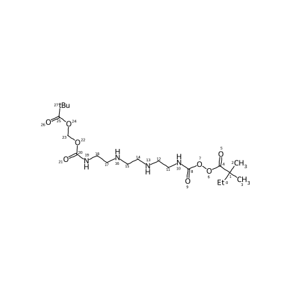 CCC(C)(C)C(=O)OOC(=O)NCCNCCNCCNC(=O)OCOC(=O)C(C)(C)C